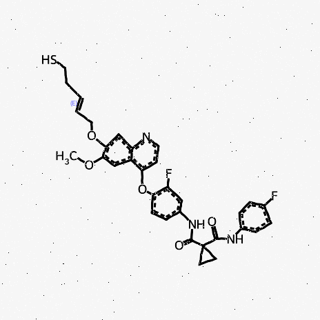 COc1cc2c(Oc3ccc(NC(=O)C4(C(=O)Nc5ccc(F)cc5)CC4)cc3F)ccnc2cc1OC/C=C/CCS